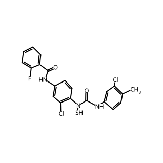 Cc1ccc(NC(=O)N(S)c2ccc(NC(=O)c3ccccc3F)cc2Cl)cc1Cl